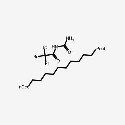 CCC(Br)(CC)C(=O)NC(N)=O.CCCCCCCCCCCCCCCCCCCCC(C)CCC